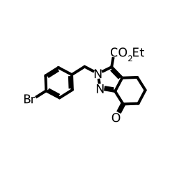 CCOC(=O)c1c2c(nn1Cc1ccc(Br)cc1)C(=O)CCC2